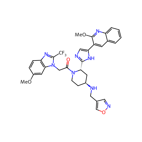 COc1ccc2nc(C(F)(F)F)n(CC(=O)N3CC[C@H](NCc4cnoc4)C[C@H]3c3ncc(-c4cc5ccccc5nc4OC)[nH]3)c2c1